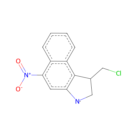 O=[N+]([O-])c1cc2c(c3ccccc13)C(CCl)C[N]2